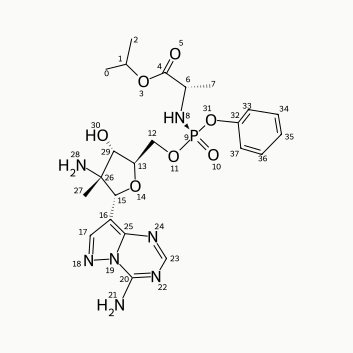 CC(C)OC(=O)[C@H](C)N[P@@](=O)(OC[C@H]1O[C@H](c2cnn3c(N)ncnc23)[C@](C)(N)[C@@H]1O)Oc1ccccc1